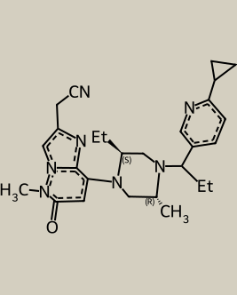 CCC(c1ccc(C2CC2)nc1)N1C[C@H](CC)N(c2cc(=O)n(C)n3cc(CC#N)nc23)C[C@H]1C